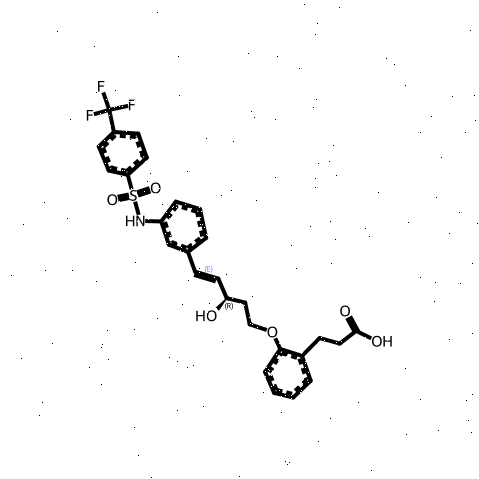 O=C(O)CCc1ccccc1OCC[C@@H](O)/C=C/c1cccc(NS(=O)(=O)c2ccc(C(F)(F)F)cc2)c1